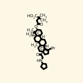 CC(C)C1=C2[C@H]3CC[C@@H]4[C@@]5(C)CC[C@H](OC(=O)CC(C)(C)C(=O)O)C(C)(C)[C@@H]5CC[C@@]4(C)[C@]3(C)CC[C@@]2(C(=O)CNC2CCCC2)CC1